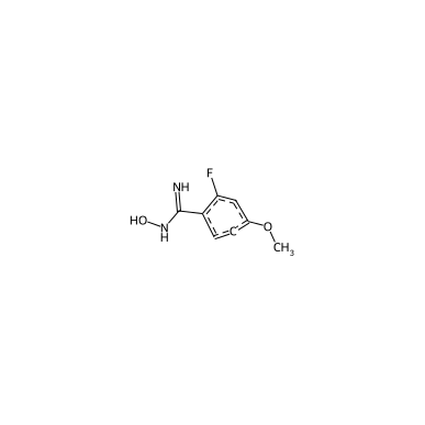 COc1ccc(C(=N)NO)c(F)c1